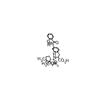 CC1(C)[C@@H](C(=O)N[C@@H](Cc2ccc(NC(=O)c3ccccc3O)cc2)C(=O)O)CC[C@@]1(C)C(=O)O